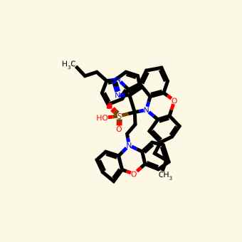 CCCc1ccc2c(c1)N(C(CCN1c3ccccc3Oc3ccccc31)(c1ccccn1)S(=O)(=O)O)c1c(cccc1-c1cccc(CCC)n1)O2